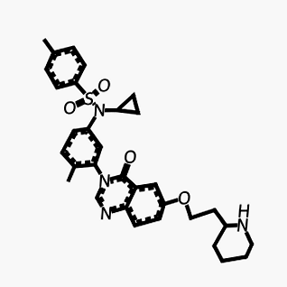 Cc1ccc(S(=O)(=O)N(c2ccc(C)c(-n3cnc4ccc(OCCC5CCCCN5)cc4c3=O)c2)C2CC2)cc1